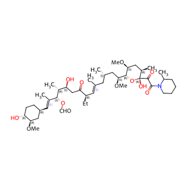 CC[C@H](/C=C(\C)C[C@H](C)C[C@H](OC)[C@H]1O[C@@](O)(C(=O)C(=O)N2CCCCC2C)[C@H](C)C[C@@H]1OC)C(=O)C[C@H](O)[C@@H](C)[C@H](OC=O)/C(C)=C/[C@@H]1CC[C@@H](O)[C@H](OC)C1